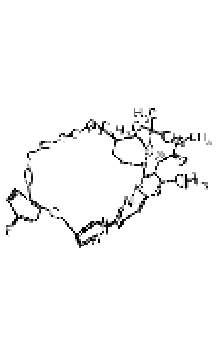 COC(=O)[C@@H](OC(C)(C)C)c1c(C)nc2cc3nn2c1N1CCC(C)(CC1)OCCCCOc1ccc(F)cc1Cc1cnn-3c1